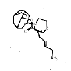 NC/C=C/CNC(=O)OC1C2CC3CCC(N4CCOCC4)(C2)CC1C3